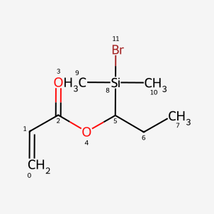 C=CC(=O)OC(CC)[Si](C)(C)Br